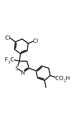 CC1=CC(C2=NSC(C3=CC(Cl)CC(Cl)=C3)(C(F)(F)F)C2)=CCC1C(=O)O